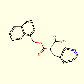 O=C(O)C(Cc1cccnc1)C(=O)OCc1cccc2ccccc12